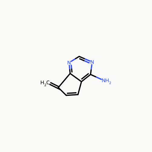 C=C1C=Cc2c(N)ncnc21